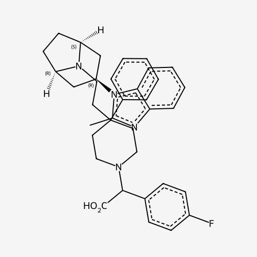 Cc1nc2ccccc2n1[C@H]1C[C@H]2CC[C@@H](C1)N2CCC1(c2ccccc2)CCN(C(C(=O)O)c2ccc(F)cc2)CC1